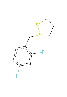 CS1(Cc2ccc(F)cc2F)CCCS1